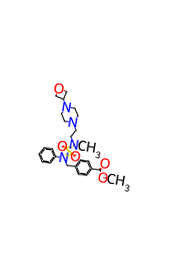 COC(=O)c1ccc(CN(c2ccccc2)S(=O)(=O)N(C)CCN2CCN(C3COC3)CC2)cc1